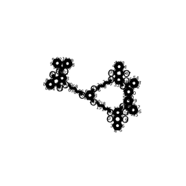 O=C1c2ccccc2C(=O)c2c3c(cc(OCCCCCOc4cc(OCCCCCOc5cc6c(c7c5C(=O)c5ccccc5C7=O)OC(c5ccccc5)(c5ccccc5)O6)cc(OCCCCCOc5cc6c(c7c5C(=O)c5ccccc5C7=O)OC(c5ccccc5)(c5ccccc5)O6)c4)c21)OC(c1ccccc1)(c1ccccc1)O3